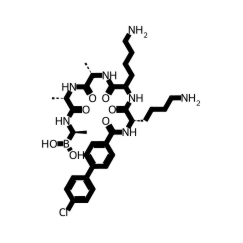 C[C@H](NC(=O)[C@H](C)NC(=O)[C@H](C)NC(=O)C(CCCCN)NC(=O)[C@H](CCCCN)NC(=O)c1ccc(-c2ccc(Cl)cc2)cc1)B(O)O